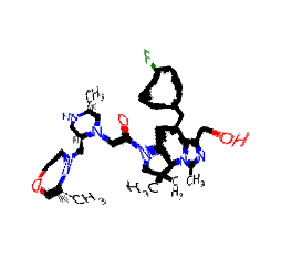 Cc1nc(CO)c2c(Cc3ccc(F)cc3)cc3c(n12)C(C)(C)CN3C(=O)CN1C[C@@H](C)NC[C@@H]1CN1CCOC[C@H]1C